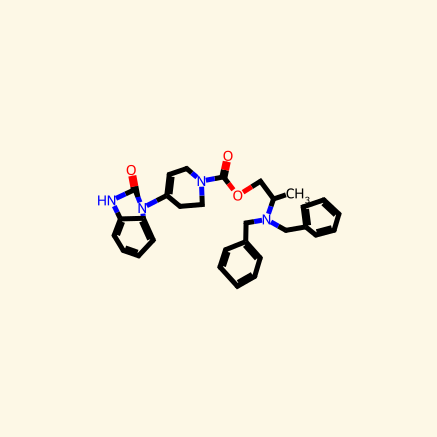 CC(COC(=O)N1CC=C(n2c(=O)[nH]c3ccccc32)CC1)N(Cc1ccccc1)Cc1ccccc1